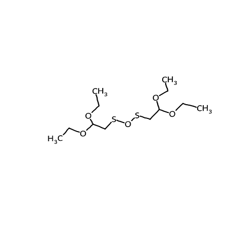 CCOC(CSOSCC(OCC)OCC)OCC